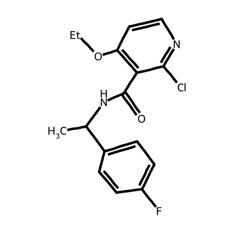 CCOc1ccnc(Cl)c1C(=O)NC(C)c1ccc(F)cc1